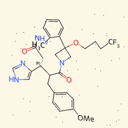 COc1ccc(CC(C(=O)N2CC(OCCCC(F)(F)F)(c3ccccc3C)C2)[C@@H](CC(N)=O)c2c[nH]cn2)cc1